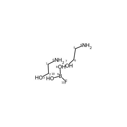 NCCO.NCCO.OB(O)F